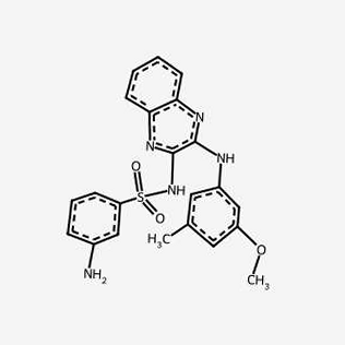 COc1cc(C)cc(Nc2nc3ccccc3nc2NS(=O)(=O)c2cccc(N)c2)c1